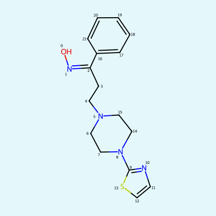 ON=C(CCN1CCN(c2nccs2)CC1)c1ccccc1